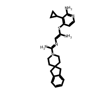 N/C(=C\N=C(/N)N1CCC2(CC1)Cc1ccccc1C2)Sc1ccnc(N)c1C1CC1